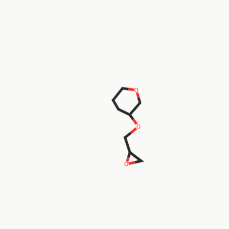 C1COCC(OCC2CO2)C1